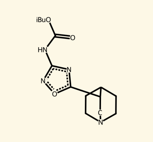 CC(C)COC(=O)Nc1noc(C2CN3CCC2CC3)n1